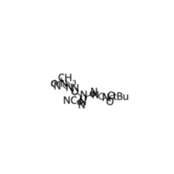 CC(c1ccccn1)N1CCN(c2ccc(-c3nc(-c4cnn(C5CCN(C(=O)OC(C)(C)C)CC5)c4)cn4ncc(C#N)c34)cn2)CC1